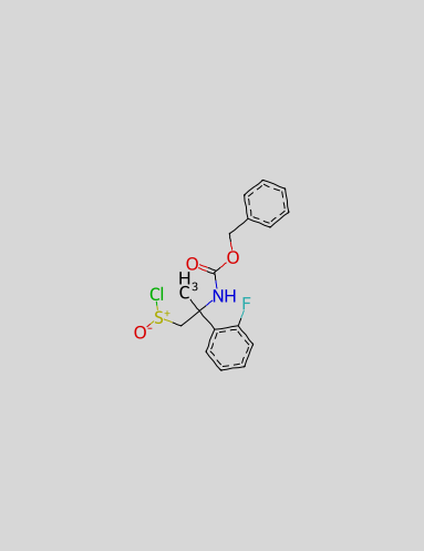 CC(C[S+]([O-])Cl)(NC(=O)OCc1ccccc1)c1ccccc1F